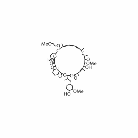 COCCOC1CC2CCC(C)C(O)(O2)C(=O)C(=O)N2CCCCC2C(=O)OC([C@H](C)C[C@@H]2CC[C@@H](O)[C@H](OC)C2)CC(=O)C(C)C=C(C)C(O)C(OC)C(=O)C(C)CC(C)C=CC=CC=C1C